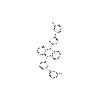 Cc1cncc(-c2ccc(-c3c4ccccc4c(-c4cccc(-c5cncc(C)c5)c4)c4ccccc34)cc2)c1